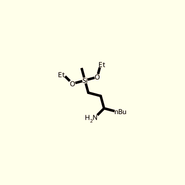 CCCCC(N)CC[Si](C)(OCC)OCC